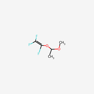 COC(C)OC(F)=C(F)F